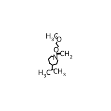 C=C(OCCOC)N1CCCC(C(C)C)CC1